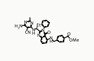 CC[C@H](Nc1nc(C)nc(N)c1C#N)c1nc2cccc(NCc3ccc(C(=O)OC)cc3)c2c(=O)n1-c1ccccc1